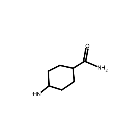 [NH]C1CCC(C(N)=O)CC1